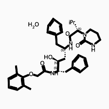 Cc1cccc(C)c1OCC(=O)N[C@@H](Cc1ccccc1)[C@@H](O)C[C@H](Cc1ccccc1)NC(=O)[C@H](C(C)C)N1CCCNC1=O.O